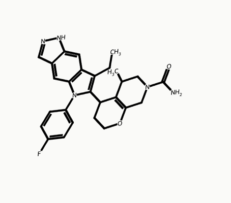 CCc1c(C2CCOC3=C2C(C)CN(C(N)=O)C3)n(-c2ccc(F)cc2)c2cc3cn[nH]c3cc12